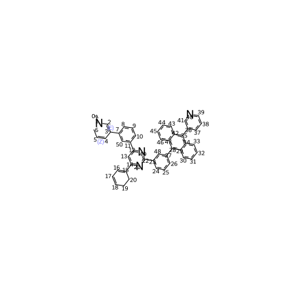 C=N/C=C(\C=C/C)c1cccc(-c2cc(C3=CC=CCC3)nc(-c3cccc(-c4c5ccccc5c(-c5cccnc5)c5ccccc45)c3)n2)c1